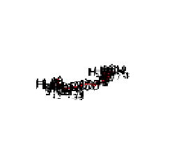 CC(C)(C)OC(=O)CN1CN(C(=O)OC(C)(C)C)c2cc(S(=O)(=O)N3CCC(c4ccc(OCCOCCOCCOCCOCCOCCOCCOc5cc(NC(=O)c6cn(C(=O)OC(C)(C)C)c7ccccc7c6=O)c(C(C)(C)C)cc5C(C)(C)C)cc4)CC3)ccc2C1=O